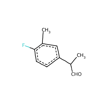 Cc1cc(C(C)C=O)ccc1F